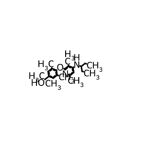 CCC(CC)Nc1cc(C)nc(Oc2c(C)cc(C(C)(C)O)cc2C)c1C